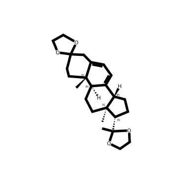 CC1([C@H]2CC[C@H]3C4=CC=C5CC6(CC[C@@]5(C)[C@@H]4CC[C@]23C)OCCO6)OCCO1